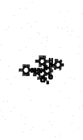 O=c1cc(Nc2ccccc2)n(-c2ccccc2)c2nc(CNC3CCCCC3)cc(C(F)(F)F)c12